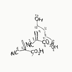 C=C(C#N)C(=O)O.C=C(C#N)C(=O)O.OC/C=C/CO